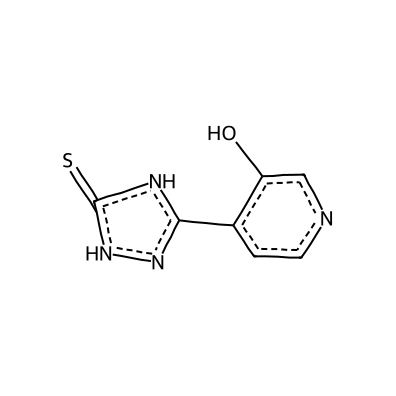 Oc1cnccc1-c1n[nH]c(=S)[nH]1